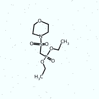 CCOP(=O)(CS(=O)(=O)N1CCOCC1)OCC